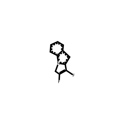 FC1=C(F)c2cc3ccccc3n2C1